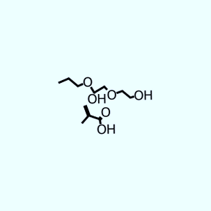 C=C(C)C(=O)O.CCCOC(O)COCCO